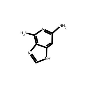 Nc1cc2[nH]cnc2c(N)n1